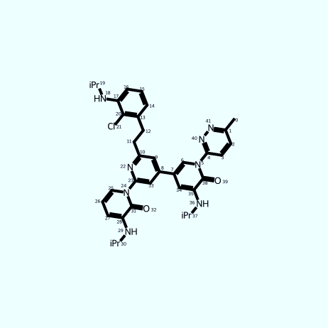 Cc1ccc(-n2cc(-c3cc(CCc4cccc(NC(C)C)c4Cl)nc(-n4cccc(NC(C)C)c4=O)c3)cc(NC(C)C)c2=O)nn1